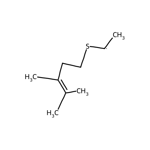 C[CH]SCCC(C)=C(C)C